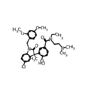 CCN(CCN(C)C)C(=O)c1ccc(Cl)c(C2(C)C(=O)N(Cc3ccc(OC)cc3OC)c3ccc(Cl)cc32)c1.Cl